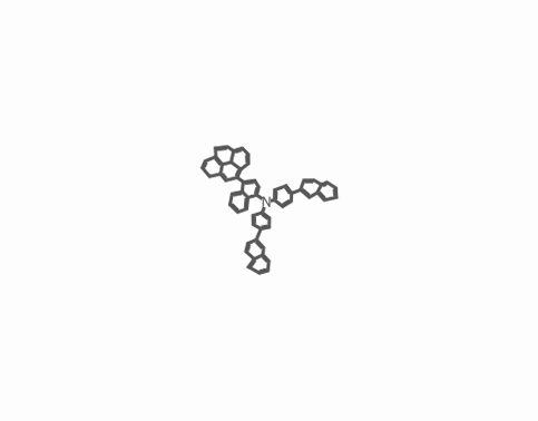 C1=CC2=C(c3ccc(N(c4ccc(-c5ccc6ccccc6c5)cc4)c4ccc(-c5ccc6ccccc6c5)cc4)c4ccccc34)C=C3CC=CC4=C3C2C(=C1)C=C4